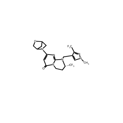 Cn1cc(CN2c3nc(N4CC5CC4CO5)cc(=O)n3CC[C@H]2C(F)(F)F)c(C(F)(F)F)n1